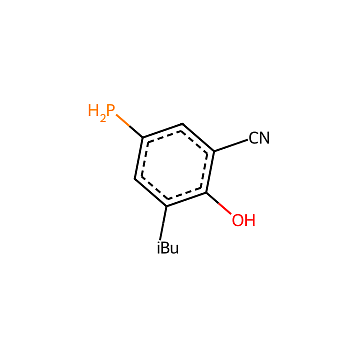 CCC(C)c1cc(P)cc(C#N)c1O